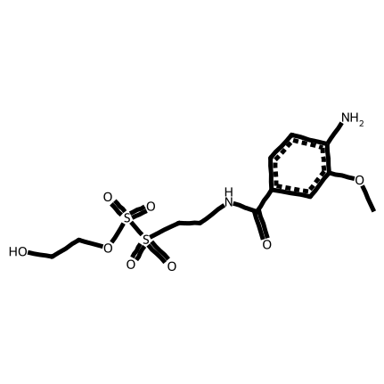 COc1cc(C(=O)NCCS(=O)(=O)S(=O)(=O)OCCO)ccc1N